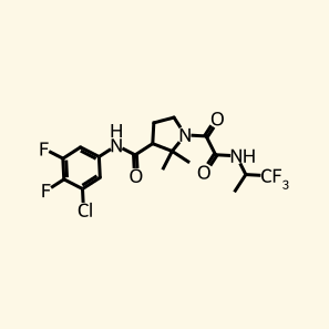 CC(NC(=O)C(=O)N1CCC(C(=O)Nc2cc(F)c(F)c(Cl)c2)C1(C)C)C(F)(F)F